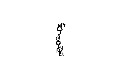 CCCC1CCC(CCCOc2ccc(-c3cnc(CC)cn3)cc2)CC1